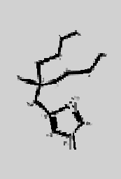 CCCCC(C)(CCCC)Cc1c[nH]cn1